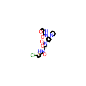 O=C(Nc1cc(N2C[C@@H](CNC(=O)c3ccc(Cl)s3)OC2=O)ccc1N1CCCCC1)c1ccco1